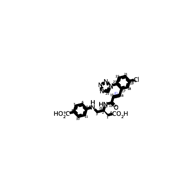 O=C(O)C[C@@H](CNc1ccc(C(=O)O)cc1)NC(=O)/C=C/c1cc(Cl)ccc1-n1cnnn1